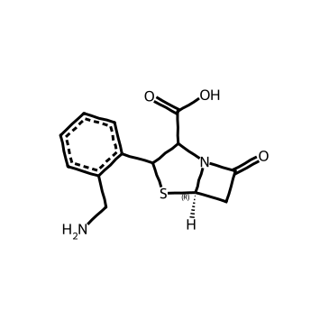 NCc1ccccc1C1S[C@@H]2CC(=O)N2C1C(=O)O